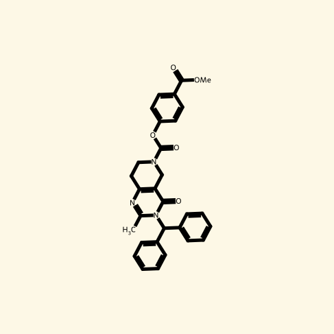 COC(=O)c1ccc(OC(=O)N2CCc3nc(C)n(C(c4ccccc4)c4ccccc4)c(=O)c3C2)cc1